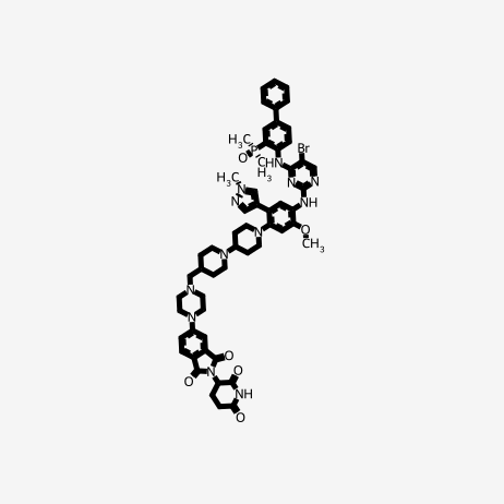 COc1cc(N2CCC(N3CCC(CN4CCN(c5ccc6c(c5)C(=O)N(C5CCC(=O)NC5=O)C6=O)CC4)CC3)CC2)c(-c2cnn(C)c2)cc1Nc1ncc(Br)c(Nc2ccc(-c3ccccc3)cc2P(C)(C)=O)n1